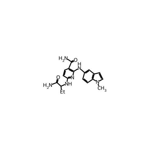 CCC(Nc1ccc(C(N)=O)c(Nc2ccc3c(ccn3C)c2)n1)C(N)=O